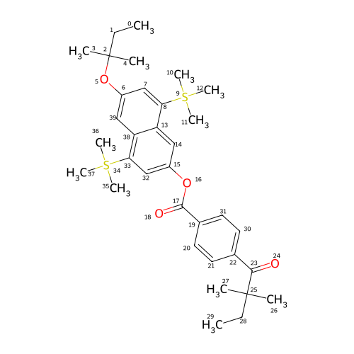 CCC(C)(C)Oc1cc(S(C)(C)C)c2cc(OC(=O)c3ccc(C(=O)C(C)(C)CC)cc3)cc(S(C)(C)C)c2c1